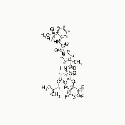 CC(C)COC(=O)C[C@H](NC(=O)C1(C)CCN(C(=O)C(=O)Nc2ccccc2C(C)(C)C)CC1)C(=O)COc1c(F)c(F)cc(F)c1F